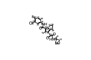 Cc1c(C(=O)C(=O)NC2(C)COC2)c2n(c1C(=O)Nc1ccc(F)c(Cl)c1)CCC2